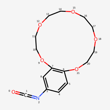 O=C=Nc1ccc2c(c1)OCCOCCOCCOCCO2